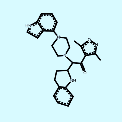 Cc1noc(C)c1C(=O)C(C1CCc2ccccc2N1)N1CCN(c2cccc3[nH]ccc23)CC1